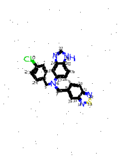 Clc1ccc(CN(Cc2ccc3nsnc3c2)c2ccc3[nH]cnc3c2)cc1